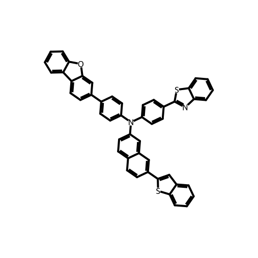 c1ccc2sc(-c3ccc4ccc(N(c5ccc(-c6ccc7c(c6)oc6ccccc67)cc5)c5ccc(-c6nc7ccccc7s6)cc5)cc4c3)cc2c1